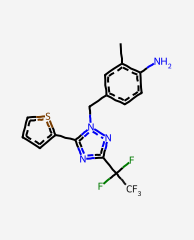 Cc1cc(Cn2nc(C(F)(F)C(F)(F)F)nc2-c2cccs2)ccc1N